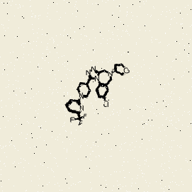 FC(F)(F)c1cccc(N2CCC(c3nnc4n3-c3ccc(Cl)cc3CN([C@H]3CCOC3)C4)CC2)n1